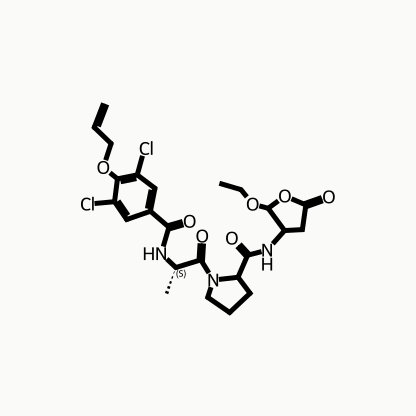 C=CCOc1c(Cl)cc(C(=O)N[C@@H](C)C(=O)N2CCCC2C(=O)NC2CC(=O)OC2OCC)cc1Cl